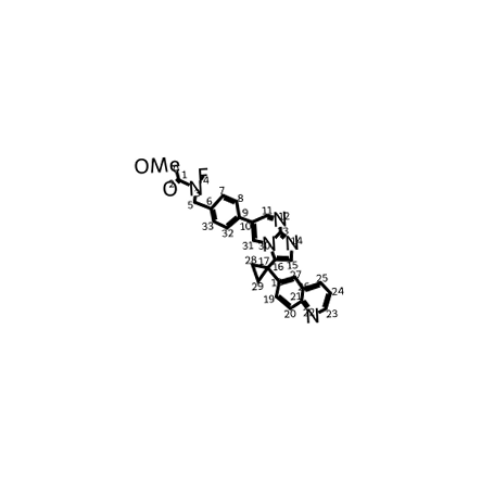 COC(=O)N(F)Cc1ccc(-c2cnc3ncc(C4(c5ccc6ncccc6c5)CC4)n3c2)cc1